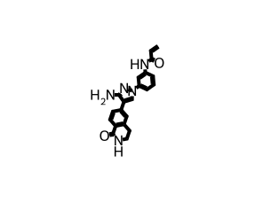 C=CC(=O)Nc1cccc(-n2cc(-c3ccc4c(c3)CCNC4=O)c(N)n2)c1